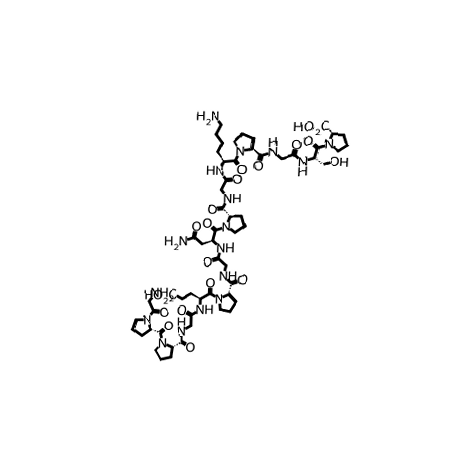 NCCCC[C@H](NC(=O)CNC(=O)[C@@H]1CCCN1C(=O)[C@H](CC(N)=O)NC(=O)CNC(=O)[C@@H]1CCCN1C(=O)[C@H](CCC(=O)O)NC(=O)CNC(=O)[C@@H]1CCCN1C(=O)[C@@H]1CCCN1C(=O)CN)C(=O)N1CCC[C@H]1C(=O)NCC(=O)N[C@@H](CO)C(=O)N1CCC[C@H]1C(=O)O